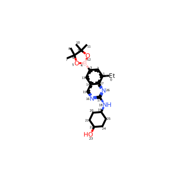 CCc1cc(B2OC(C)(C)C(C)(C)O2)cc2cnc(NC3CCC(O)CC3)nc12